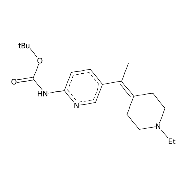 CCN1CCC(=C(C)c2ccc(NC(=O)OC(C)(C)C)nc2)CC1